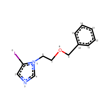 Ic1cncn1CCOCc1ccccc1